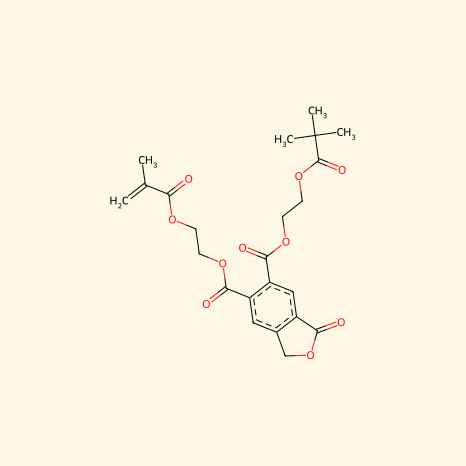 C=C(C)C(=O)OCCOC(=O)c1cc2c(cc1C(=O)OCCOC(=O)C(C)(C)C)C(=O)OC2